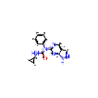 O=C(NC1CC1)N(c1ccccc1)c1ncc2cn[nH]c2n1